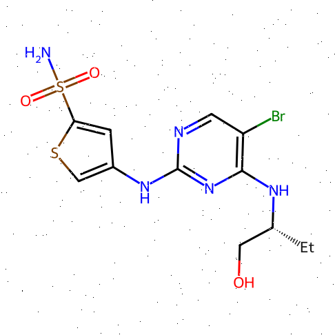 CC[C@H](CO)Nc1nc(Nc2csc(S(N)(=O)=O)c2)ncc1Br